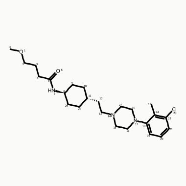 COCCCC(=O)N[C@H]1CC[C@H](CCN2CCN(c3cccc(Cl)c3C)CC2)CC1